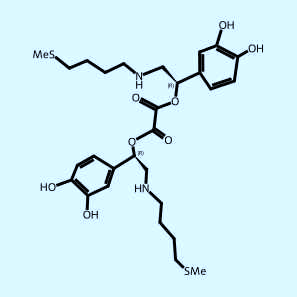 CSCCCCNC[C@H](OC(=O)C(=O)O[C@@H](CNCCCCSC)c1ccc(O)c(O)c1)c1ccc(O)c(O)c1